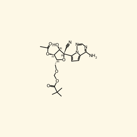 CC(=O)O[C@H]1[C@@H](O)[C@](C#N)(c2ccc3c(N)ncnn23)O[C@@H]1COCOC(=O)C(C)(C)C